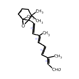 CC(/C=C/C=C(C)/C=C/C12OC1(C)CCCC2(C)C)=C\C=O